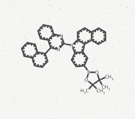 CC1(C)OB(c2ccc3c(c2)c2c4ccccc4ccc2n3-c2nc(-c3cccc4ccccc34)c3ccccc3n2)OC1(C)C